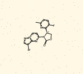 Cc1ccc(F)c([C@H]2COC(=O)N2c2ccn3ncc(Br)c3n2)n1